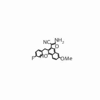 COc1ccc2c(O)c(Cc3ccc(F)cc3)c3c(C#N)c(N)oc3c2c1